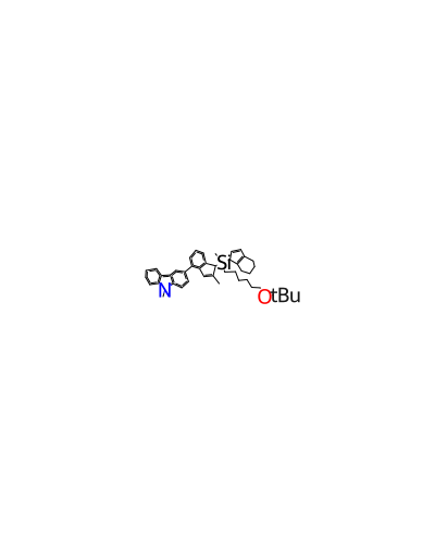 CC1=Cc2c(-c3ccc4c(c3)c3ccccc3n4C)cccc2C1[Si](C)(CCCCCCOC(C)(C)C)C1C=CC2=C1CCCC2